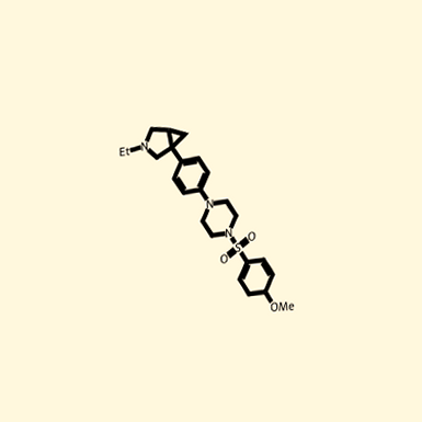 CCN1CC2CC2(c2ccc(N3CCN(S(=O)(=O)C4=CCC(OC)C=C4)CC3)cc2)C1